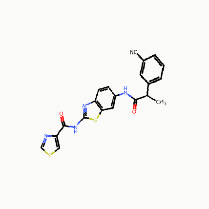 CC(C(=O)Nc1ccc2nc(NC(=O)c3cscn3)sc2c1)c1cccc(C#N)c1